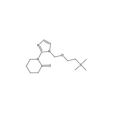 C[Si](C)(C)CCOCn1ccnc1N1CCCCC1=O